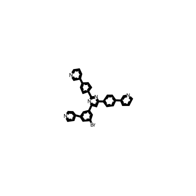 Brc1cc(-c2ccncc2)cc(-c2cc(-c3ccc(-c4cccnc4)cc3)nc(-c3ccc(-c4cccnc4)cc3)n2)c1